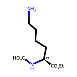 CCOC(=O)[C@H](CCCCN)NC(=O)O